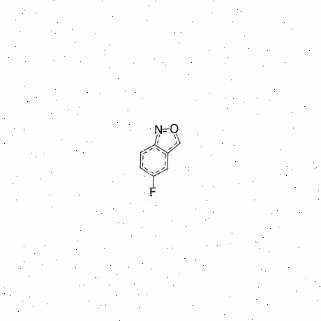 Fc1ccc2nocc2c1